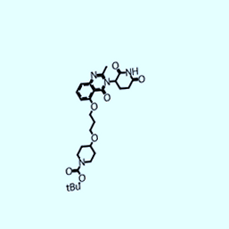 Cc1nc2cccc(OCCCOC3CCN(C(=O)OC(C)(C)C)CC3)c2c(=O)n1C1CCC(=O)NC1=O